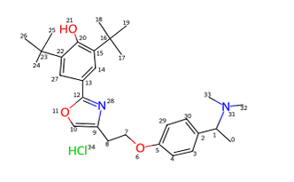 CC(c1ccc(OCCc2coc(-c3cc(C(C)(C)C)c(O)c(C(C)(C)C)c3)n2)cc1)N(C)C.Cl